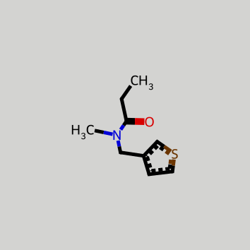 CCC(=O)N(C)Cc1ccsc1